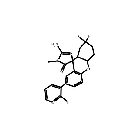 CN1C(=O)C2(N=C1N)c1cc(-c3cccnc3F)ccc1OC1CCC(F)(F)CC12